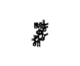 CO[C@@H]1[C@H](O[Si](C)(C)C(C)(C)C)[C@@H](CON)O[C@H]1n1ccc(=O)[nH]c1=O